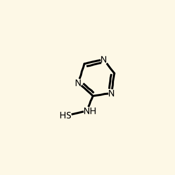 SNc1ncncn1